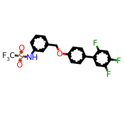 O=S(=O)(Nc1cccc(COc2ccc(-c3cc(F)c(F)cc3F)cc2)c1)C(F)(F)F